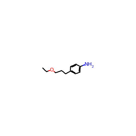 CCOCCCc1ccc(N)cc1